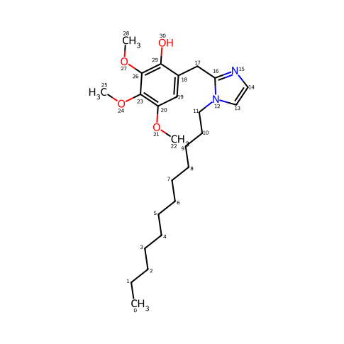 CCCCCCCCCCCCn1ccnc1Cc1cc(OC)c(OC)c(OC)c1O